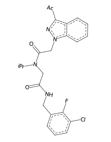 CC(=O)c1nn(CC(=O)N(CC(=O)NCc2cccc(Cl)c2F)C(C)C)c2ccccc12